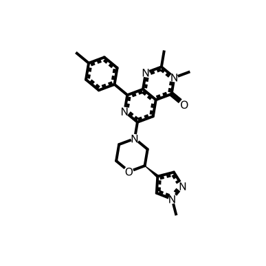 Cc1ccc(-c2nc(N3CCO[C@H](c4cnn(C)c4)C3)cc3c(=O)n(C)c(C)nc23)cc1